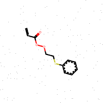 C=CC(=O)OOCCSc1ccccc1